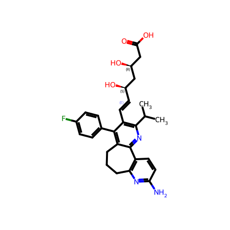 CC(C)c1nc2c(c(-c3ccc(F)cc3)c1/C=C/[C@@H](O)C[C@@H](O)CC(=O)O)CCCc1nc(N)ccc1-2